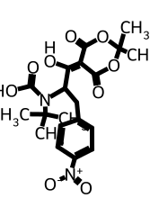 CC1(C)OC(=O)C(=C(O)C(Cc2ccc([N+](=O)[O-])cc2)N(C(=O)O)C(C)(C)C)C(=O)O1